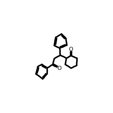 O=C(CC(c1ccccc1)C1CCCCC1=O)c1ccccc1